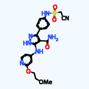 COCCOc1cc(Nc2[nH]nc(-c3ccc(NS(=O)(=O)CC#N)cc3)c2C(N)=O)ccn1